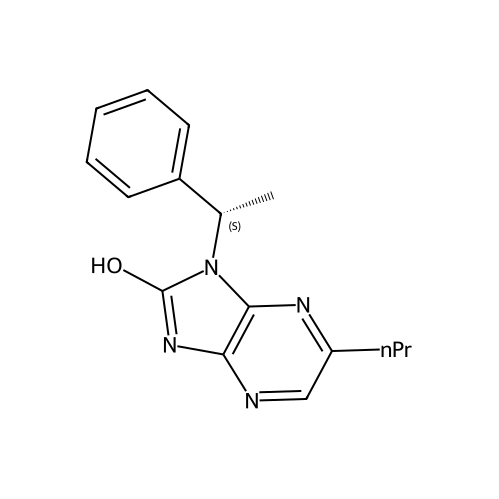 CCCc1cnc2nc(O)n([C@@H](C)c3ccccc3)c2n1